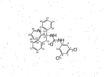 O=C(Nc1cc(Cl)cc(Cl)c1)NC(Cc1ccccc1)(c1ccccc1)c1ccccn1